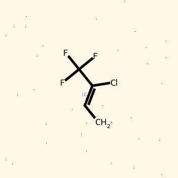 [CH2]/C=C(\Cl)C(F)(F)F